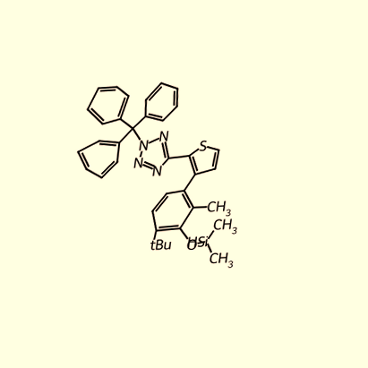 Cc1c(-c2ccsc2-c2nnn(C(c3ccccc3)(c3ccccc3)c3ccccc3)n2)ccc(C(C)(C)C)c1O[SiH](C)C